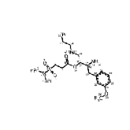 CCCN(CCC)S(=O)(=O)CCC(=O)O[C@H](CNCCC(C)C)[C@@H](N)Cc1cccc(OC(F)(F)F)c1